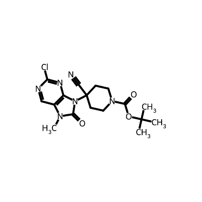 Cn1c(=O)n(C2(C#N)CCN(C(=O)OC(C)(C)C)CC2)c2nc(Cl)ncc21